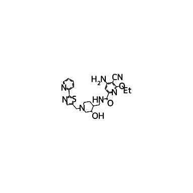 CCOc1nc(C(=O)NCC2CCN(Cc3cnc(-c4ccccn4)s3)CC2O)cc(N)c1C#N